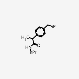 [CH2]CCNC(=O)C(C)c1ccc(CC(C)C)cc1